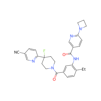 CCc1ccc(C(=O)N2CCC(F)(c3ccc(C#N)cn3)CC2)cc1NC(=O)c1ccc(N2CCC2)nc1